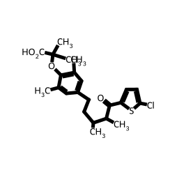 Cc1cc(CCC(C)C(C)C(=O)c2ccc(Cl)s2)cc(C)c1OC(C)(C)C(=O)O